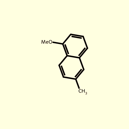 COc1cccc2cc(C)ccc12